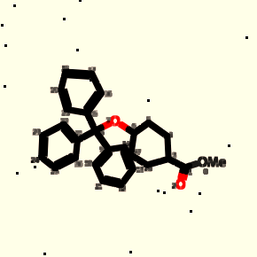 COC(=O)C1CCC(OC(c2ccccc2)(c2ccccc2)c2ccccc2)CC1